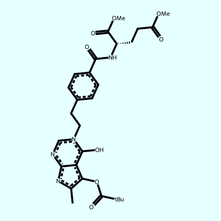 COC(=O)CC[C@H](NC(=O)c1ccc(CCn2cnc3nc(C)c(OC(=O)C(C)(C)C)c-3c2O)cc1)C(=O)OC